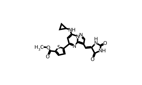 COC(=O)c1ccc(-c2cc(NC3CC3)n3ncc(/C=C4\NC(=O)NC4=O)c3n2)s1